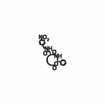 O=C(C[C@@H]1CC=CCCC(=O)O[C@H](c2ccccc2)CNC1=O)NCc1ccc([N+](=O)[O-])cc1